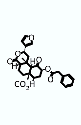 C[C@]12C[C@@H](c3ccoc3)OC(=O)[C@H]1CC[C@]1(C)[C@@H]2C(=O)[C@@H](OC(=O)Cc2ccccc2)C[C@H]1C(=O)O